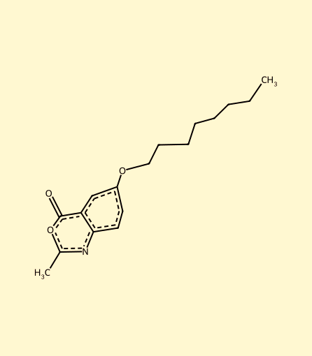 CCCCCCCCOc1ccc2nc(C)oc(=O)c2c1